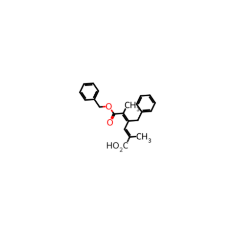 CC(=CC(Cc1ccccc1)=C(C)C(=O)OCc1ccccc1)C(=O)O